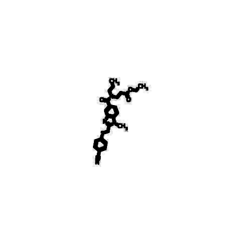 CCCN(CCC(=O)OCC)C(=O)c1ccc2c(c1)nc(CSc1ccc(C#N)cc1)n2C